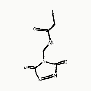 O=C(CI)NCN1C(=O)N=NC1=O